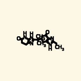 CCc1nc2c([nH]1)CC(C(C)(C)c1nc3c([nH]1)NC(=O)CC3)CC2=O